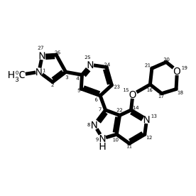 Cn1cc(-c2cc(-c3n[nH]c4ccnc(OC5CCOCC5)c34)ccn2)cn1